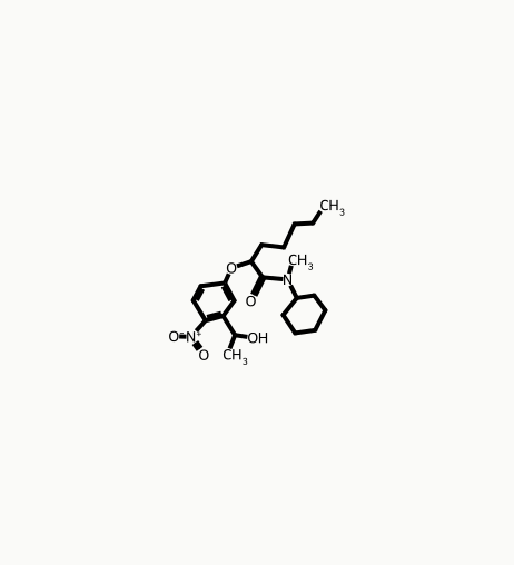 CCCCCC(Oc1ccc([N+](=O)[O-])c(C(C)O)c1)C(=O)N(C)C1CCCCC1